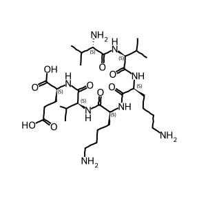 CC(C)[C@H](N)C(=O)N[C@H](C(=O)N[C@@H](CCCCN)C(=O)N[C@@H](CCCCN)C(=O)N[C@H](C(=O)N[C@@H](CCC(=O)O)C(=O)O)C(C)C)C(C)C